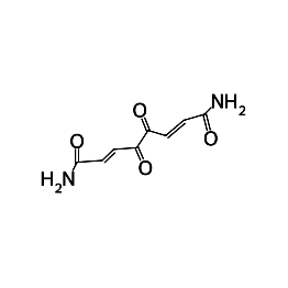 NC(=O)C=CC(=O)C(=O)C=CC(N)=O